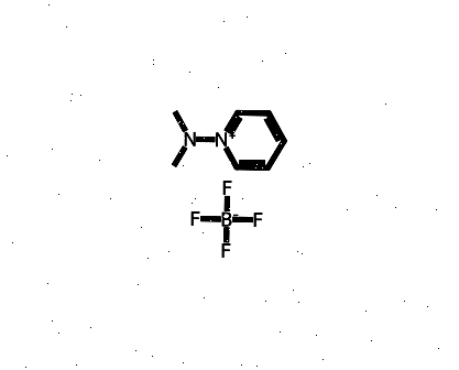 CN(C)[n+]1ccccc1.F[B-](F)(F)F